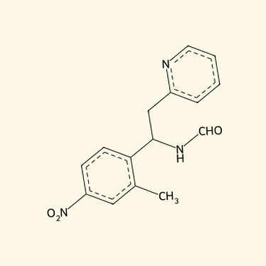 Cc1cc([N+](=O)[O-])ccc1C(Cc1ccccn1)NC=O